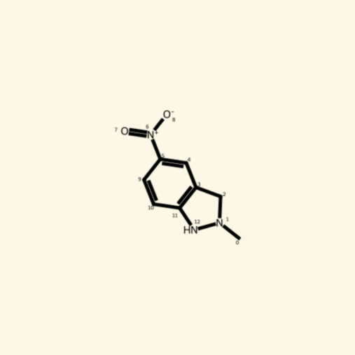 CN1Cc2cc([N+](=O)[O-])ccc2N1